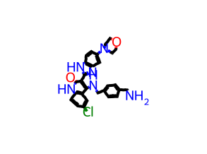 NCc1ccc(CNc2c(-c3nc4cc(N5CCOCC5)ccc4[nH]3)c(=O)[nH]c3ccc(Cl)cc23)cc1